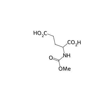 COC(=O)NC(CCC(=O)O)C(=O)O